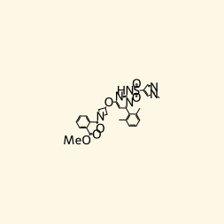 COC(=O)c1ccccc1C(=O)N1CC(Oc2cc(-c3c(C)cccc3C)nc(NS(=O)(=O)c3cnn(C)c3)n2)C1